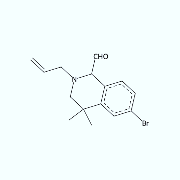 C=CCN1CC(C)(C)c2cc(Br)ccc2C1C=O